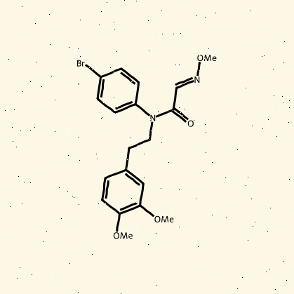 CON=CC(=O)N(CCc1ccc(OC)c(OC)c1)c1ccc(Br)cc1